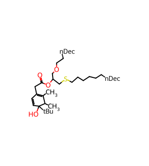 CCCCCCCCCCCCCCCCSCC(COCCCCCCCCCCCC)OC(=O)CC1=C(C)C(C)C(O)(C(C)(C)C)C=C1